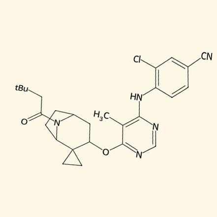 Cc1c(Nc2ccc(C#N)cc2Cl)ncnc1OC1CC2CCC(N2C(=O)CC(C)(C)C)C12CC2